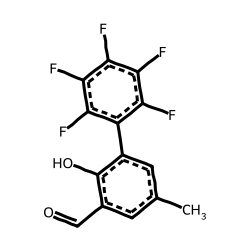 Cc1cc(C=O)c(O)c(-c2c(F)c(F)c(F)c(F)c2F)c1